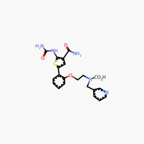 NC(=O)Nc1sc(-c2ccccc2OCCN(Cc2cccnc2)C(=O)O)cc1C(N)=O